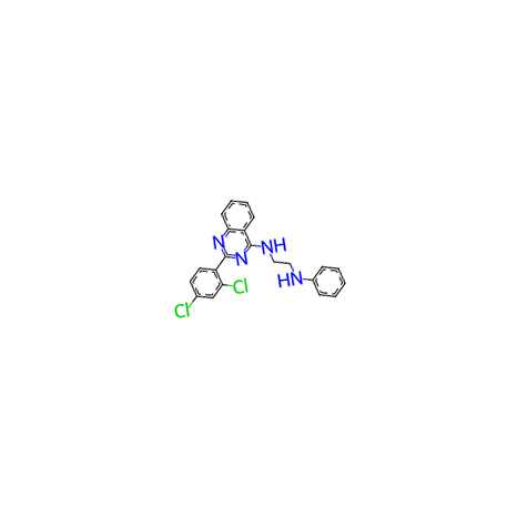 Clc1ccc(-c2nc(NCCNc3ccccc3)c3ccccc3n2)c(Cl)c1